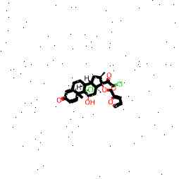 C[C@@H]1C[C@H]2[C@@H]3CCC4=CC(=O)C=CC4(C)[C@@]3(Cl)[C@@H](O)C[C@]2(C)[C@@]1(OC(=O)c1ccco1)C(=O)CCl